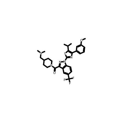 COc1cccc(-c2nc(-n3nc(C(=O)N4CCC(CN(C)C)CC4)c4cc(C(F)(F)F)ccc43)sc2C(C)C)c1